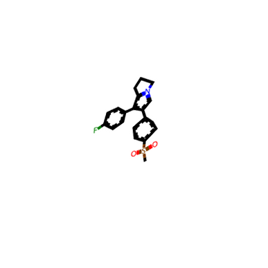 CS(=O)(=O)c1ccc(-c2cn3c(c2-c2ccc(F)cc2)CCC3)cc1